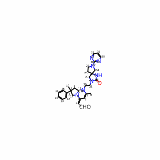 C/C(=C/C(=C\C=O)N1CCC(C)(c2ccccc2)C1)N(C)CCN1CC2(CCN(c3ncccn3)C2)NC1=O